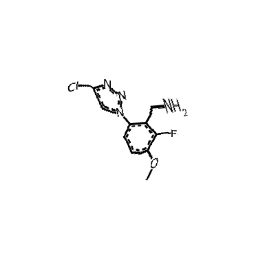 COc1ccc(-n2cc(Cl)nn2)c(CN)c1F